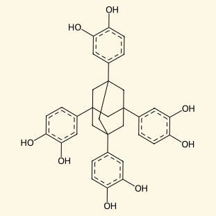 Oc1ccc(C23CC4(c5ccc(O)c(O)c5)CC(c5ccc(O)c(O)c5)(C2)CC(c2ccc(O)c(O)c2)(C3)C4)cc1O